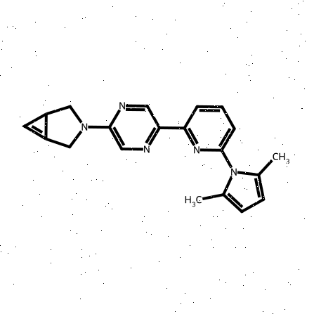 Cc1ccc(C)n1-c1cccc(-c2cnc(N3CC4=CC4C3)cn2)n1